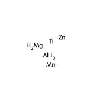 [AlH3].[MgH2].[Mn].[Ti].[Zn]